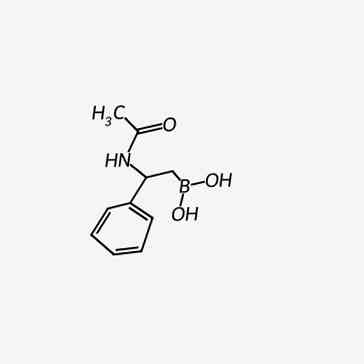 CC(=O)NC(CB(O)O)c1ccccc1